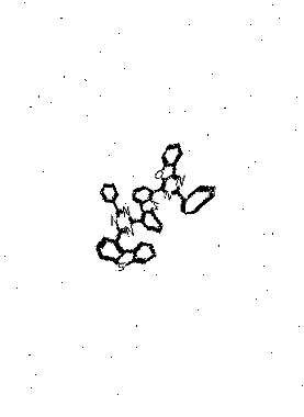 c1ccc(-c2nc(-c3cccc4sc5ccccc5c34)nc(-c3cccc4sc5c(-c6nc(-c7ccccc7)nc7c6oc6ccccc67)cccc5c34)n2)cc1